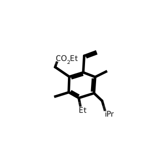 C=Cc1c(C)c(CC(C)C)c(CC)c(C)c1CC(=O)OCC